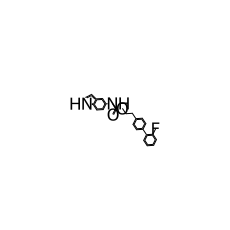 O=C(Nc1ccc2[nH]ccc2c1)OCCc1ccc(-c2ccccc2F)cc1